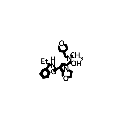 CC[C@@H](NC(=O)c1cc(C(O)N(C)CC2CCOCC2)n2c1COCC2)c1ccccc1